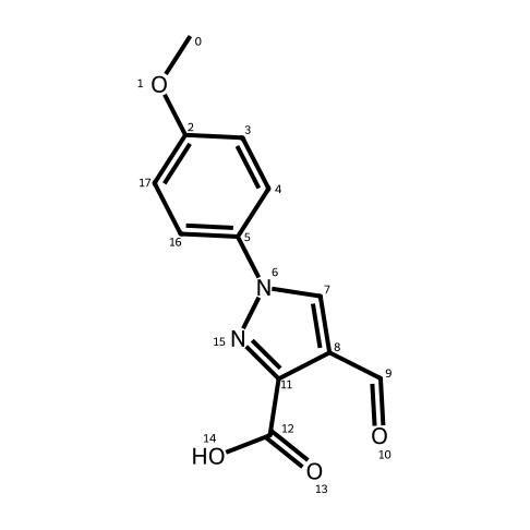 COc1ccc(-n2cc(C=O)c(C(=O)O)n2)cc1